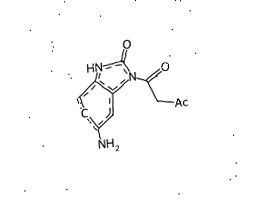 CC(=O)CC(=O)n1c(=O)[nH]c2ccc(N)cc21